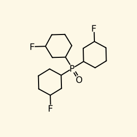 O=P(C1CCCC(F)C1)(C1CCCC(F)C1)C1CCCC(F)C1